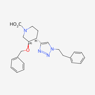 O=C(O)N1CC[C@H](c2cn(CCc3ccccc3)nn2)[C@@H](OCc2ccccc2)C1